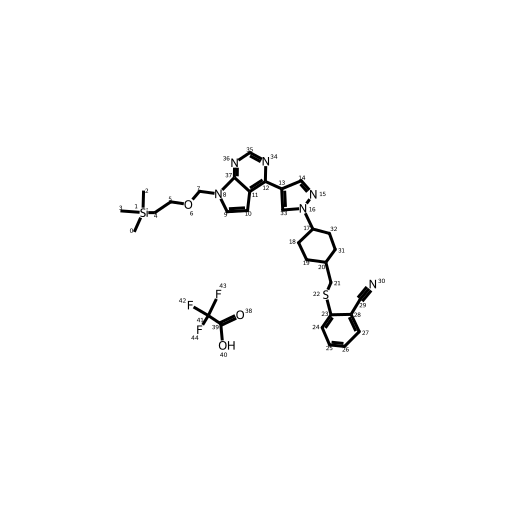 C[Si](C)(C)CCOCn1ccc2c(-c3cnn(C4CCC(CSc5ccccc5C#N)CC4)c3)ncnc21.O=C(O)C(F)(F)F